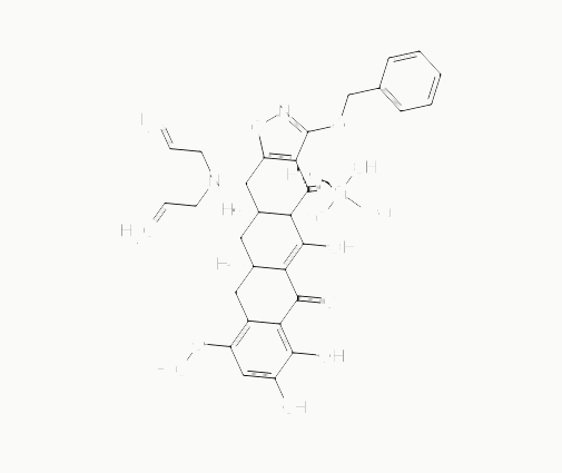 C=CCN(CC=C)[C@@H]1c2onc(OCc3ccccc3)c2C(=O)[C@@]2(O[Si](C)(C)C(C)(C)C)C(O)=C3C(=O)c4c(O)c(C)cc(OC(F)(F)F)c4C[C@H]3C[C@@H]12